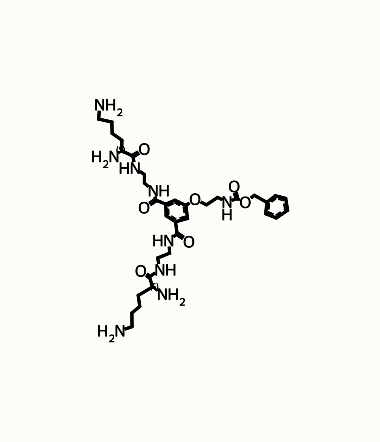 NCCCC[C@H](N)C(=O)NCCNC(=O)c1cc(OCCNC(=O)OCc2ccccc2)cc(C(=O)NCCNC(=O)[C@@H](N)CCCCN)c1